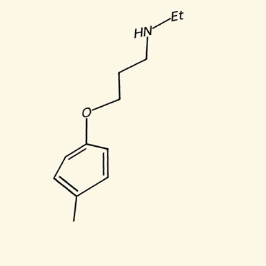 CCNCCCOc1ccc(C)cc1